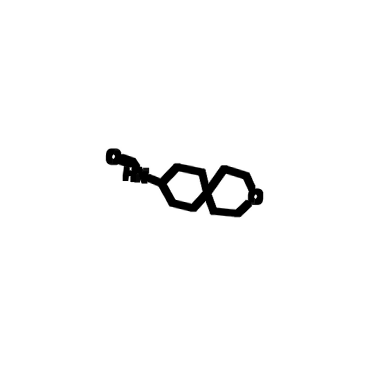 O=CNC1CCC2(CCOCC2)CC1